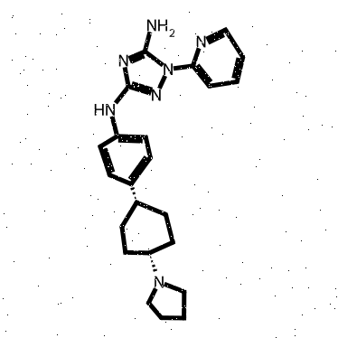 Nc1nc(Nc2ccc([C@H]3CC[C@@H](N4CCCC4)CC3)cc2)nn1-c1ccccn1